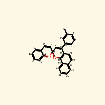 Cc1cccc(C2=CC3(C=Cc4ccccc4O3)Oc3c2ccc2ccccc32)c1